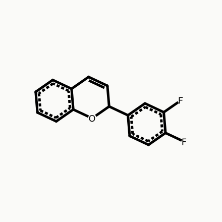 Fc1ccc(C2C=Cc3ccccc3O2)cc1F